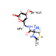 CCCCCCCOc1cc([C@@H](CCC)NC(=O)[C@]2(N)CSC(C(C)=O)=N2)oc(=O)c1